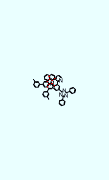 Cc1cccc(-c2ccc3c(c2)c2ccccc2n3-c2ccc(-c3nc(-c4ccccc4)nc(-c4ccccc4)n3)cc2-c2ncccc2-n2c3ccccc3c3cc(-c4cccc(C)c4)ccc32)c1